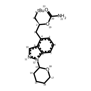 CC(C)(C)C[C@H](Cc1cccc2c1cnn2C1CCCCO1)OC(N)=O